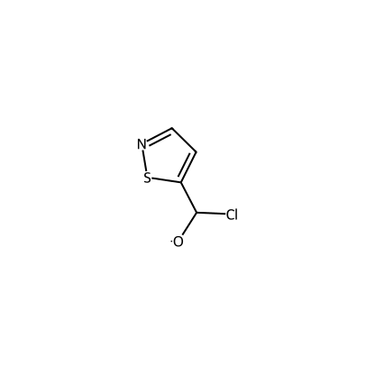 [O]C(Cl)c1ccns1